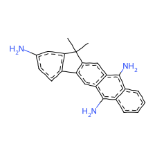 CC1(C)c2cc(N)ccc2-c2cc3c(N)c4ccccc4c(N)c3cc21